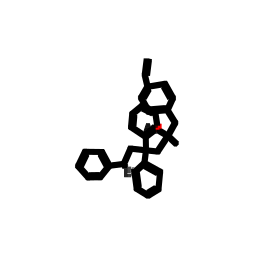 C=Cc1ccc(CC(C)(CC(CC(CC)c2ccccc2)(c2ccccc2)c2ccccc2)C(C)=O)cc1